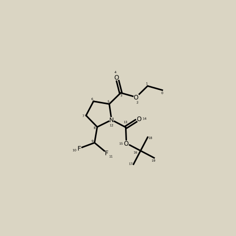 CCOC(=O)C1CCC(C(F)F)N1C(=O)OC(C)(C)C